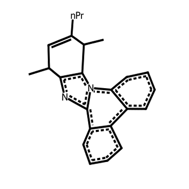 CCCC1=CC(C)c2nc3c4ccccc4c4ccccc4n3c2C1C